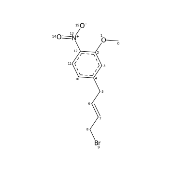 COc1cc(CC=CCBr)ccc1[N+](=O)[O-]